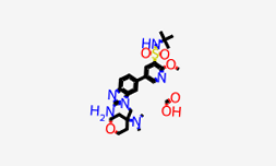 COc1ncc(-c2ccc3nc(N)n(CC4(N(C)C)CCOCC4)c3c2)cc1S(=O)(=O)NC(C)(C)C.O=CO